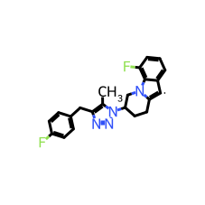 Cc1c(Cc2ccc(F)cc2)nnn1C1CCc2[c]c3cccc(F)c3n2C1